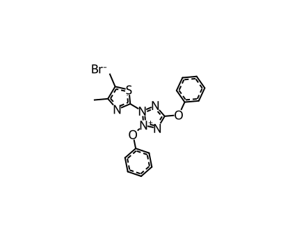 Cc1nc(-n2nc(Oc3ccccc3)n[n+]2Oc2ccccc2)sc1C.[Br-]